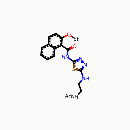 CCOc1ccc2ccccc2c1C(=O)Nc1nnc(NCCNC(C)=O)s1